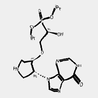 CC(C)OP(=O)(OC(C)C)[C@@H](O)CO[C@@H]1CNC[C@H]1n1cnc2c(=O)[nH]cnc21